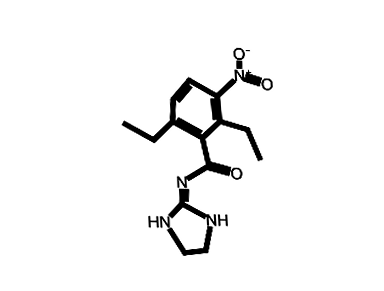 CCc1ccc([N+](=O)[O-])c(CC)c1C(=O)N=C1NCCN1